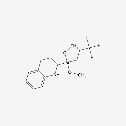 CO[Si](CCC(F)(F)F)(OC)C1CCc2ccccc2N1